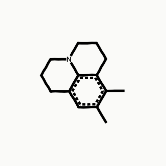 Cc1cc2c3c(c1C)CCCN3CCC2